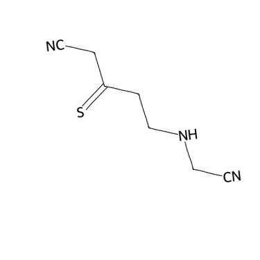 N#CCNCCC(=S)CC#N